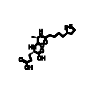 C[C@H](NC(=O)CCCC[C@@H]1CCSS1)C(=O)N[C@@H](CCC(=O)O)C(=O)O